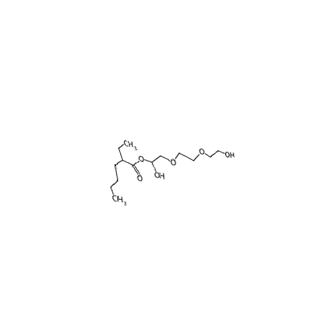 CCCCC(CC)C(=O)OC(O)COCCOCCO